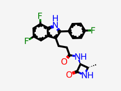 C[C@@H]1NC(=O)[C@H]1NC(=O)CCc1c(-c2ccc(F)cc2)[nH]c2c(F)cc(F)cc12